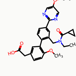 CCN(Cc1cc(-c2ncc(OC)cn2)ccc1-c1cc(CC(=O)O)ccc1OC)C(=O)C1CC1